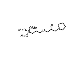 CO[Si](CCCOCC(O)CN1CCCC1)(OC)OC